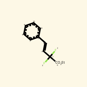 CCOC(=O)C(F)(F)C=Cc1ccccc1